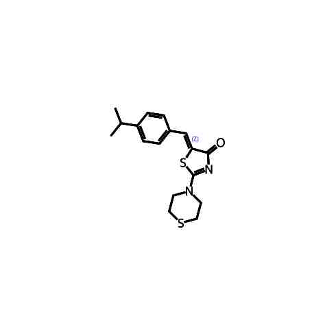 CC(C)c1ccc(/C=C2\SC(N3CCSCC3)=NC2=O)cc1